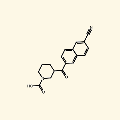 N#Cc1ccc2cc(C(=O)C3CCCN(C(=O)O)C3)ccc2c1